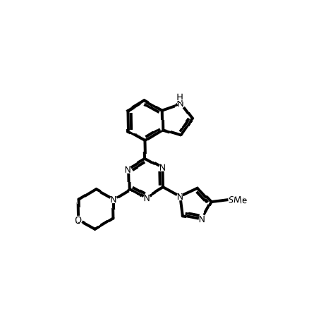 CSc1cn(-c2nc(-c3cccc4[nH]ccc34)nc(N3CCOCC3)n2)cn1